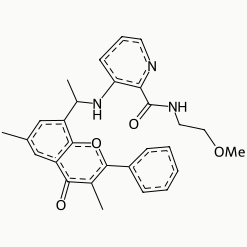 COCCNC(=O)c1ncccc1NC(C)c1cc(C)cc2c(=O)c(C)c(-c3ccccc3)oc12